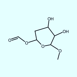 COC1OC(OC=O)CC(O)C1O